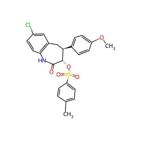 COc1ccc([C@@H]2Cc3cc(Cl)ccc3NC(=O)[C@H]2OS(=O)(=O)c2ccc(C)cc2)cc1